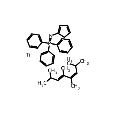 C1=CCC(N=P(c2ccccc2)(c2ccccc2)c2ccccc2)=C1.CC(=CC(C)C)C(C)=CC(C)C.[Ti]